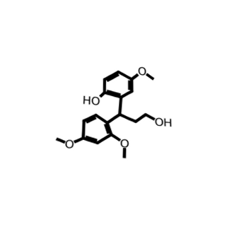 COc1ccc(C(CCO)c2cc(OC)ccc2O)c(OC)c1